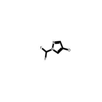 [O]c1cnn(C(F)F)c1